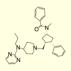 CCCN(c1ncccn1)C1CCN(C[C@H]2C[C@H](N(C)C(=O)c3ccccc3)C[C@@H]2c2ccccc2)CC1